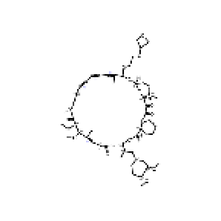 CO[C@@H]1/C(C)=C/[C@@H](C)C(=O)C[C@@H]([C@H](C)C[C@@H]2CC[C@@H](OC)[C@H](OC)C2)OC(=O)[C@@H]2CCCCN2C(=O)C(=O)[C@]2(O)O[C@@H](CC[C@H]2C)CC(OCCOC2COC2)/C(C)=C/C=C/C=C/[C@@H](C)C[C@@H](C)C(=O)[C@@H]1OC